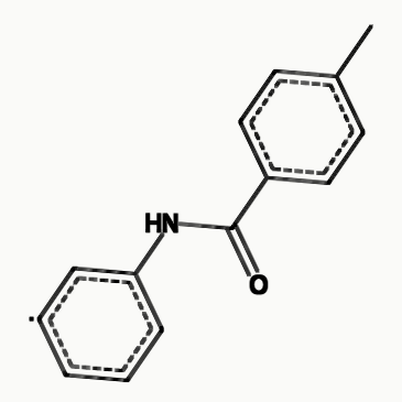 Cc1ccc(C(=O)Nc2c[c]ccc2)cc1